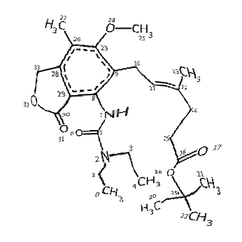 CCN(CC)C(=O)Nc1c(C/C=C(\C)CCC(=O)OC(C)(C)C)c(OC)c(C)c2c1C(=O)OC2